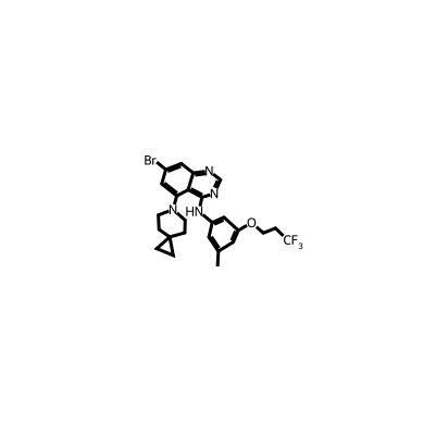 Cc1cc(Nc2ncnc3cc(Br)cc(N4CCC5(CC4)CC5)c23)cc(OCCC(F)(F)F)c1